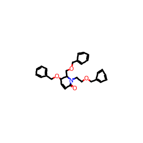 O=C1C=CC(OCc2ccccc2)C(COCc2ccccc2)N1CCOCc1ccccc1